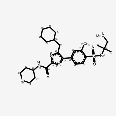 COCC(C)(C)NS(=O)(=O)c1ccc(-c2sc(C(=O)NC3CCOCC3)nc2CC2CCCCC2)cc1C(F)(F)F